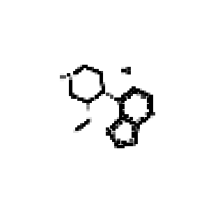 CC[C@@H]1CNCC[C@@H]1c1cccc2ccsc12.Cl